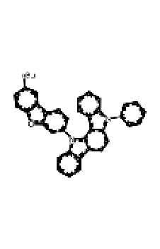 CCCCc1ccc2oc3cc(-n4c5ccccc5c5ccc6c(c7ccccc7n6-c6ccccc6)c54)ccc3c2c1